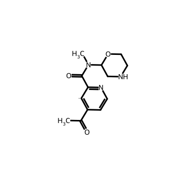 CC(=O)c1[c]c(C(=O)N(C)C2CNCCO2)ncc1